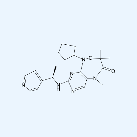 C[C@@H](Nc1ncc2c(n1)N(C1CCCC1)CC(C)(C)C(=O)N2C)c1ccncc1